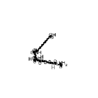 CC(=O)C(N)CSCC(=O)NCCOCCOCCNC(=O)CCC(NC(=O)CCC(NC(=O)CCCCCCCCCCCCCCC(=O)O)C(=O)O)C(=O)O